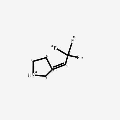 FC(F)(F)/C=C1\CCNC1